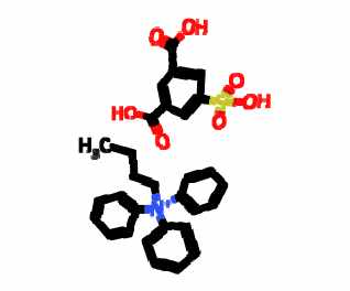 CCCC[N+](c1ccccc1)(c1ccccc1)c1ccccc1.O=C(O)c1cc(C(=O)O)cc(S(=O)(=O)O)c1